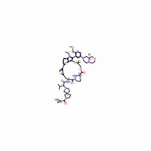 CCn1c(-c2cc(N3CCN4CCOC[C@@H]4C3)cnc2[C@H](C)OC)c2c3cc(ccc31)-c1csc(n1)C[C@H](NC(=O)[C@H](C(C)C)N1CC[C@]3(CCN(C(=O)[C@H]4CN4)C3)C1)C(=O)N1CCC[C@H](N1)C(=O)OCC(C)(C)C2